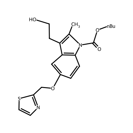 CCCCOC(=O)n1c(C)c(CCO)c2cc(OCc3nccs3)ccc21